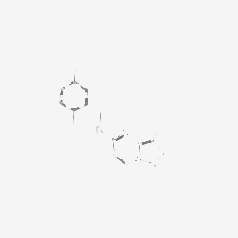 CC1=C2N=C(NCc3cc(F)ccc3F)C=CN2NC1